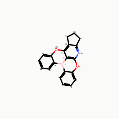 c1ccc2c(c1)Oc1nc3c(c4c1B2c1ccccc1O4)CCC3